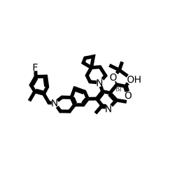 Cc1cc(F)ccc1CN1CCc2cc(-c3c(C)nc(C)c([C@H](OC(C)(C)C)C(=O)O)c3N3CCC4(CCC4)CC3)ccc2C1